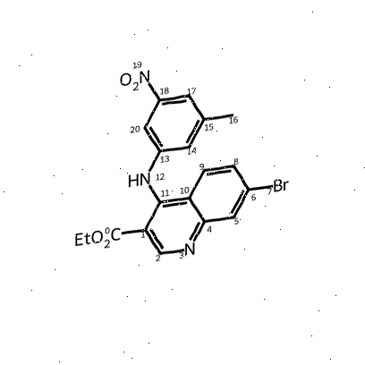 CCOC(=O)c1cnc2cc(Br)ccc2c1Nc1cc(C)cc([N+](=O)[O-])c1